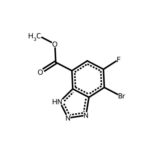 COC(=O)c1cc(F)c(Br)c2nn[nH]c12